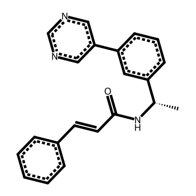 C[C@H](NC(=O)C=Cc1ccccc1)c1cccc(-c2cncnc2)c1